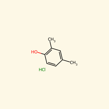 Cc1ccc(O)c(C)c1.Cl